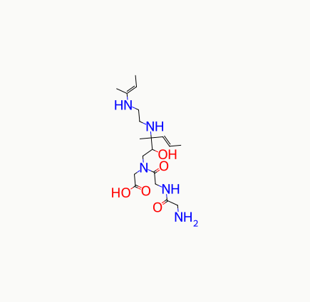 CC=CC(C)(NCCNC(C)=CC)C(O)CN(CC(=O)O)C(=O)CNC(=O)CN